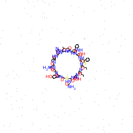 CCCC[C@H]1C(=O)N(C)[C@@H](CCCC)C(=O)N[C@@H](CO)C(=O)NC(C(=O)NCC(N)=O)CSCC(=O)N[C@@H](Cc2ccc(O)cc2)C(=O)N(C)[C@@H](C)C(=O)N[C@@H](CC(N)=O)C(=O)N2CCC[C@H]2C(=O)N[C@@H](Cc2cnc[nH]2)C(=O)N[C@@H](CC(C)C)C(=O)N2CCCC2(C=O)N[C@@H](Cc2c[nH]c3ccccc23)C(=O)N[C@@H](CO)C(=O)N[C@@H](Cc2csc3ccccc23)C(=O)N1C